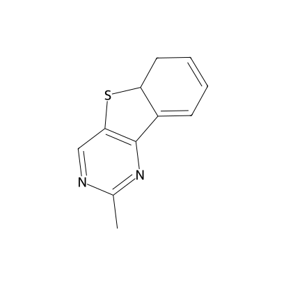 Cc1ncc2c(n1)C1=CC=CCC1S2